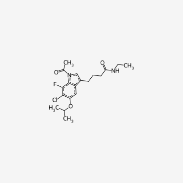 CCNC(=O)CCCc1cn(C(C)=O)c2c(F)c(Cl)c(OC(C)C)cc12